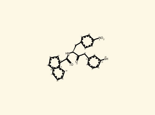 O=C(N[C@@H](Cc1ccc([N+](=O)[O-])cc1)C(=O)Cc1cccc(S)c1)c1cccc2ccccc12